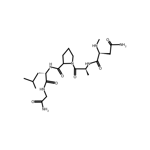 CN[C@@H](CC(N)=O)C(=O)N[C@@H](C)C(=O)N1CCCC1C(=O)N[C@@H](CC(C)C)C(=O)NCC(N)=O